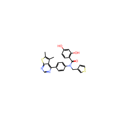 Cc1sc2ncnc(-c3ccc(N(Cc4ccsc4)C(=O)c4ccc(O)cc4O)cc3)c2c1C